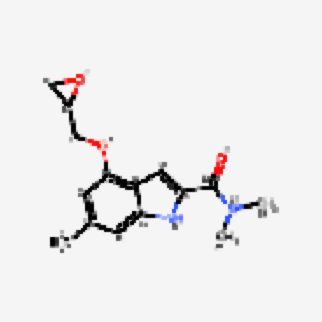 Cc1cc(OCC2CO2)c2cc(C(=O)N(C)C)[nH]c2c1